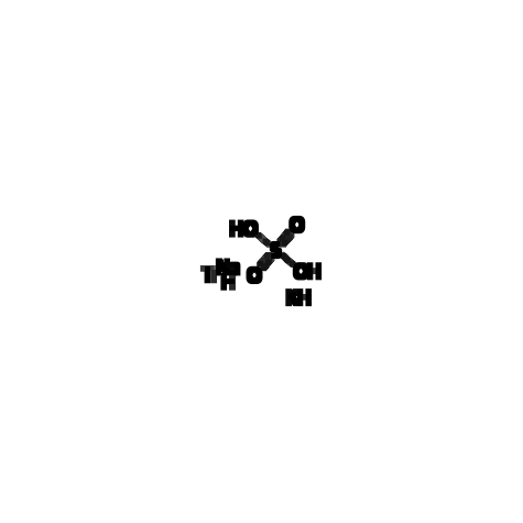 O=S(=O)(O)O.[KH].[NaH].[Ti]